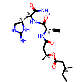 C#C[C@H](NC(=O)C[C@H](C)OC(=O)C[C@@H](C)CC)C(=O)N[C@@H](C[C@H]1CNC(=N)N1)C(N)=O